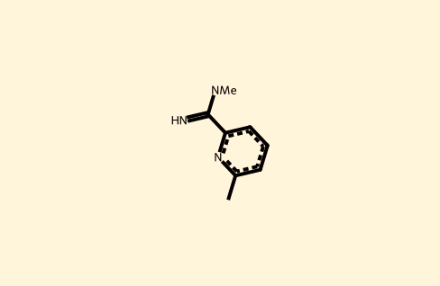 CNC(=N)c1cccc(C)n1